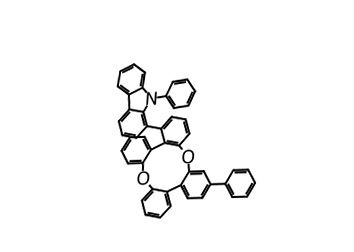 c1ccc(-c2ccc3c(c2)Oc2cccc(-c4cccc5c6ccccc6n(-c6ccccc6)c45)c2-c2ccccc2Oc2ccccc2-3)cc1